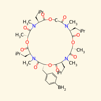 Bc1ccc(C[C@H]2OC(=O)[C@H](CC(C)C)N(C)C(=O)[C@@H](C)OC(=O)[C@H](CC(C)C)N(C)C(=O)COC(=O)[C@H](CC(C)C)N(C)C(=O)[C@@H](C)OC(=O)[C@H](CC(C)C)N(C)C2=O)cc1